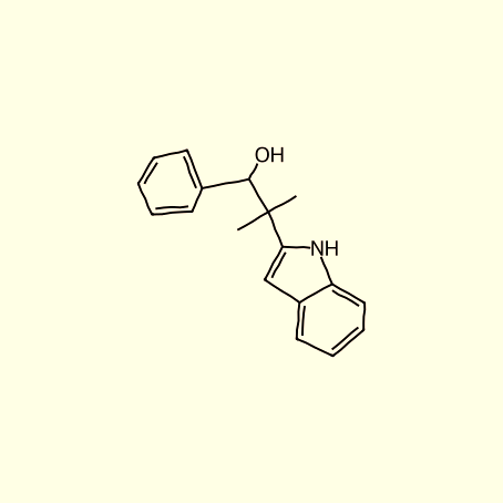 CC(C)(c1cc2ccccc2[nH]1)C(O)c1ccccc1